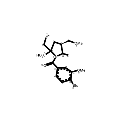 COC[C@@H]1CC(CC(C)C)(C(=O)O)N(C(=O)c2ccc(C(C)(C)C)c(OC)c2)C1C